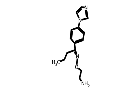 CCCC(=NOCCN)c1ccc(-n2ccnc2)cc1